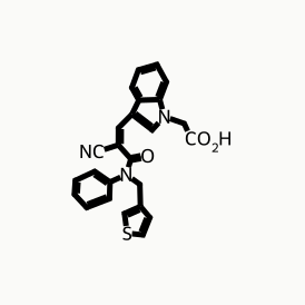 N#CC(=Cc1cn(CC(=O)O)c2ccccc12)C(=O)N(Cc1ccsc1)c1ccccc1